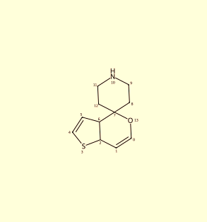 C1=CC2SC=CC2C2(CCNCC2)O1